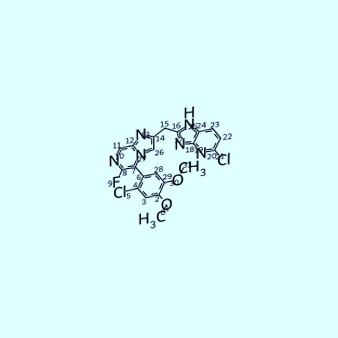 COc1cc(Cl)c(-c2c(F)ncc3nc(Cc4nc5nc(Cl)ccc5[nH]4)cn23)cc1OC